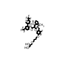 CN1N(Cc2ccc(OCCCCOC[C@H](O)CO)c(F)c2F)C(=O)C(C(=O)Nc2ccc(C(F)(F)F)cc2-c2ccc(C(F)(F)F)nc2)=C(O)C12CCCC2